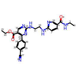 CCNC(=O)c1ccc(NCCNc2ncc(C(=O)OCC)c(-c3ccc(C#N)cc3)n2)nc1